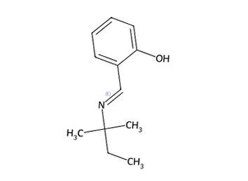 CCC(C)(C)/N=C/c1ccccc1O